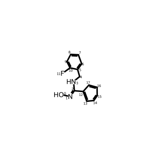 O/N=C(\NCc1ccccc1F)c1ccccc1